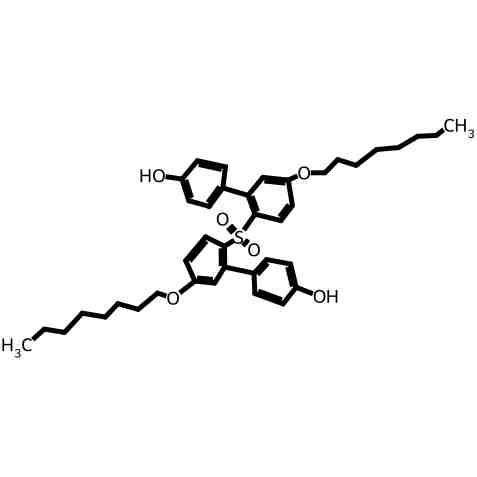 CCCCCCCCOc1ccc(S(=O)(=O)c2ccc(OCCCCCCCC)cc2-c2ccc(O)cc2)c(-c2ccc(O)cc2)c1